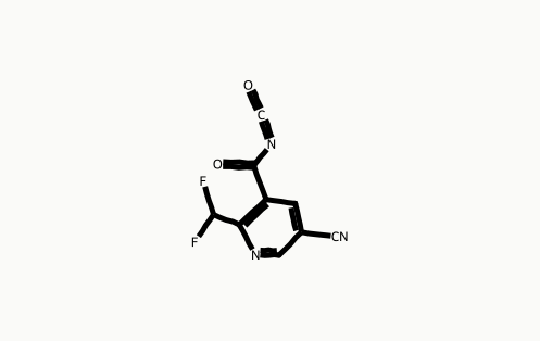 N#Cc1cnc(C(F)F)c(C(=O)N=C=O)c1